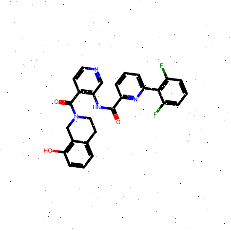 O=C(Nc1cnccc1C(=O)N1CCc2cccc(O)c2C1)c1cccc(-c2c(F)cccc2F)n1